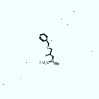 CC(C)(C)N(CC(I)COCc1ccccc1)C(=O)O